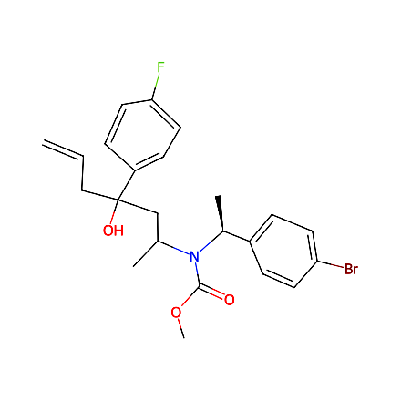 C=CCC(O)(CC(C)N(C(=O)OC)[C@@H](C)c1ccc(Br)cc1)c1ccc(F)cc1